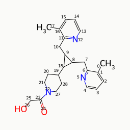 Cc1cccnc1CC1C(Cc2ncccc2C)C1C1CCN(C(=O)CO)CC1